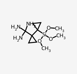 CO[Si](OC)(OC)C1(C2(C(N)(N)N)CC2)CC1